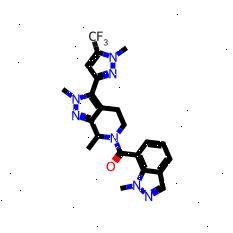 CC1c2nn(C)c(-c3cc(C(F)(F)F)n(C)n3)c2CCN1C(=O)c1cccc2cnn(C)c12